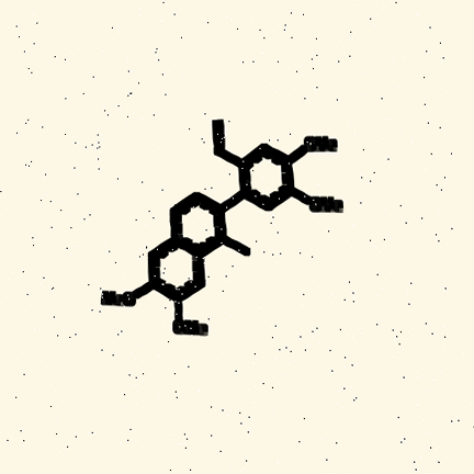 C=Cc1cc(OC)c(OC)cc1-c1ccc2cc(OC)c(OC)cc2c1C